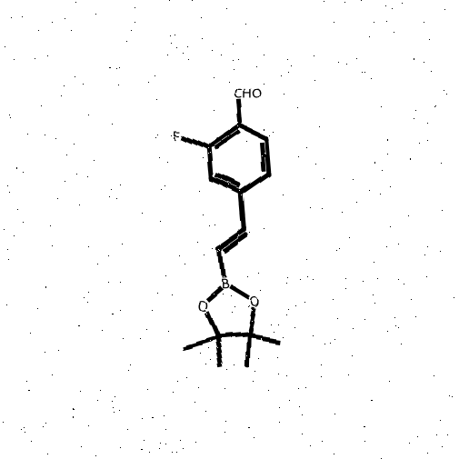 CC1(C)OB(C=Cc2ccc(C=O)c(F)c2)OC1(C)C